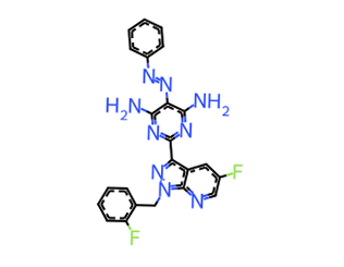 Nc1nc(-c2nn(Cc3ccccc3F)c3ncc(F)cc23)nc(N)c1/N=N/c1ccccc1